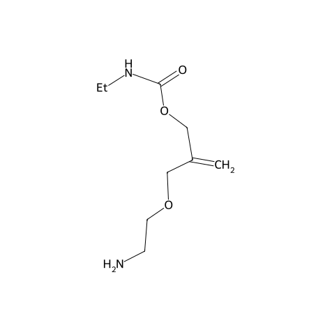 C=C(COCCN)COC(=O)NCC